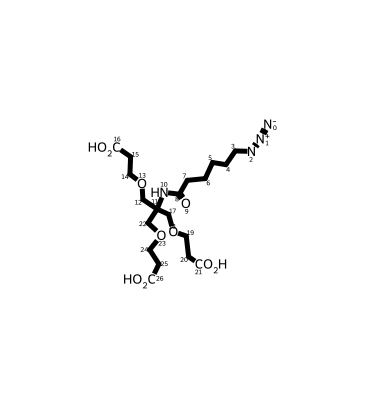 [N-]=[N+]=NCCCCCC(=O)NC(COCCC(=O)O)(COCCC(=O)O)COCCC(=O)O